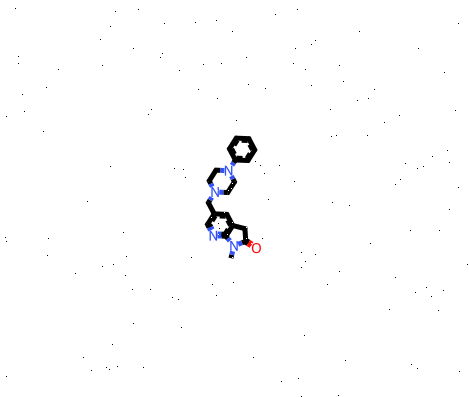 CN1C(=O)Cc2cc(CN3CCN(c4ccccc4)CC3)cnc21